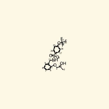 C[C@H](O)COc1ccccc1CNS(=O)(=O)c1ccc(OC(F)(F)F)cc1